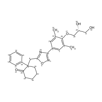 Cc1cc(-c2noc(CC3(c4ccccc4)CCCCC3=O)n2)cc(C)c1OC[C@H](O)CO